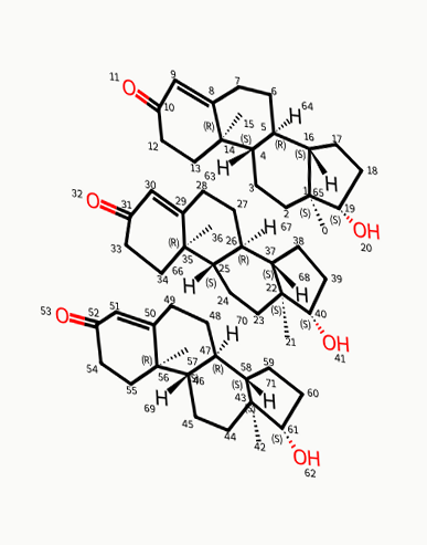 C[C@]12CC[C@H]3[C@@H](CCC4=CC(=O)CC[C@@]43C)[C@@H]1CC[C@@H]2O.C[C@]12CC[C@H]3[C@@H](CCC4=CC(=O)CC[C@@]43C)[C@@H]1CC[C@@H]2O.C[C@]12CC[C@H]3[C@@H](CCC4=CC(=O)CC[C@@]43C)[C@@H]1CC[C@@H]2O